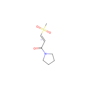 CS(=O)(=O)/C=C/C(=O)N1CCCC1